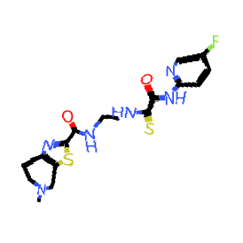 CN1CCc2nc(C(=O)NCCNC(=S)C(=O)Nc3ccc(F)cn3)sc2C1